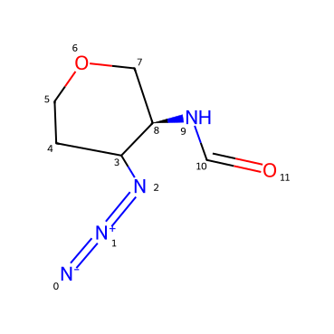 [N-]=[N+]=NC1CCOC[C@H]1NC=O